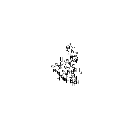 [2H]C([2H])([2H])NC(=O)c1nnc(Nc2cc(C)ccn2)cc1Nc1nccc(-c2noc(CN3CCOCC3)n2)c1OC